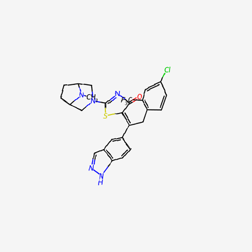 CN1C2CCC1CN(C1=NC(=O)C(=C(Cc3ccc(Cl)cc3C(F)(F)F)c3ccc4[nH]ncc4c3)S1)C2